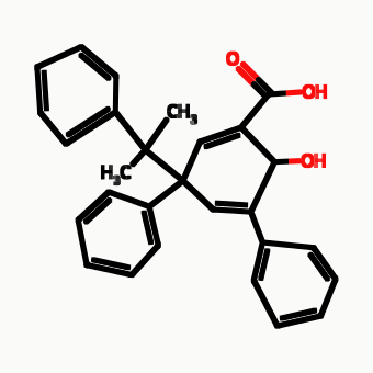 CC(C)(c1ccccc1)C1(c2ccccc2)C=C(C(=O)O)C(O)C(c2ccccc2)=C1